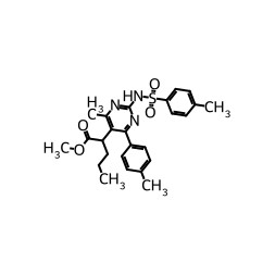 CCCC(C(=O)OC)c1c(C)nc(NS(=O)(=O)c2ccc(C)cc2)nc1-c1ccc(C)cc1